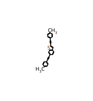 Cc1ccc(C#Cc2ccc3cc(C#Cc4ccc(C)cc4)sc3c2)cc1